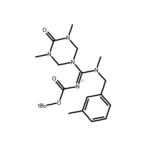 Cc1cccc(CN(C)/C(=N/C(=O)OC(C)(C)C)N2CN(C)C(=O)N(C)C2)c1